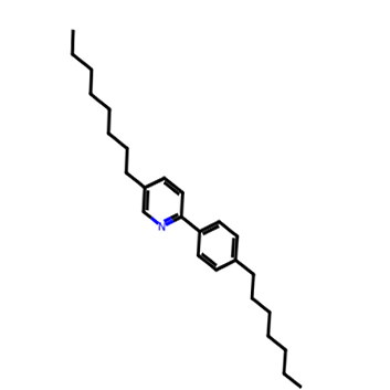 CCCCCCCCc1ccc(-c2ccc(CCCCCCC)cc2)nc1